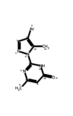 CC(=O)c1cnn(-c2nc(C)cc(=O)[nH]2)c1C